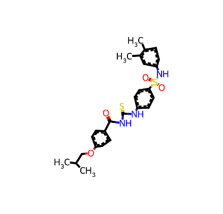 Cc1ccc(NS(=O)(=O)c2ccc(NC(=S)NC(=O)c3ccc(OCC(C)C)cc3)cc2)cc1C